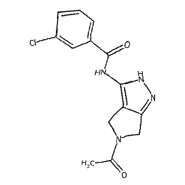 CC(=O)N1Cc2n[nH]c(NC(=O)c3cccc(Cl)c3)c2C1